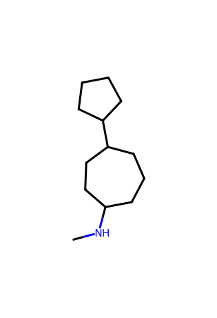 CNC1CCCC(C2CCCC2)CC1